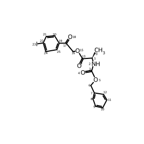 C[C@@H](NC(=O)OCc1ccccc1)C(=O)OCC(=O)c1ccc(I)cc1